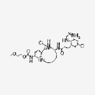 COCCOC(=O)Nc1ccc2c(c1)NCCCCC[C@H](NC(=O)/C=C/c1cc(Cl)ccc1N/C=N\N)c1nc-2c(Cl)[nH]1